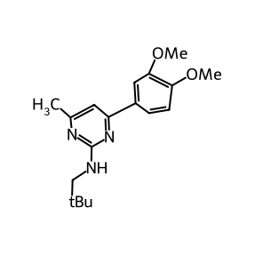 COc1ccc(-c2cc(C)nc(NCC(C)(C)C)n2)cc1OC